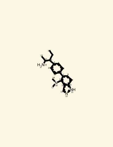 CCC(c1ccc(-c2ccc3[nH]ncc3c2N(C)C)cc1)C(C)N